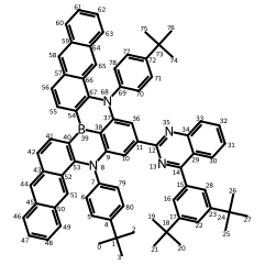 CC(C)(C)c1ccc(N2c3cc(-c4nc(-c5cc(C(C)(C)C)cc(C(C)(C)C)c5)c5ccccc5n4)cc4c3B(c3ccc5cc6ccccc6cc5c32)c2ccc3cc5ccccc5cc3c2N4c2ccc(C(C)(C)C)cc2)cc1